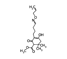 C=CCON=CCCCC1=C(O)CC(C)(C)C(C(=O)OC)C1=O